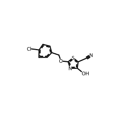 N#Cc1sc(OCc2ccc(Cl)cc2)nc1O